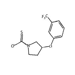 FC(F)(F)c1cccc(OC2CCN(C(=S)Cl)C2)c1